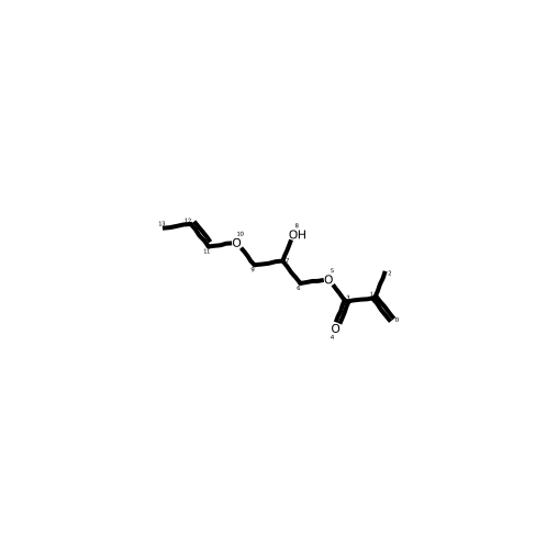 C=C(C)C(=O)OCC(O)COC=CC